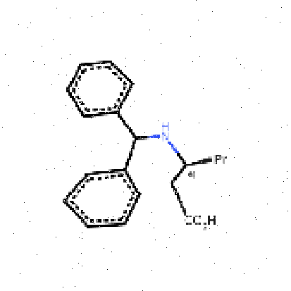 CC(C)[C@@H](CC(=O)O)NC(c1ccccc1)c1ccccc1